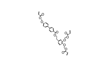 C=CC(=O)OCOc1ccc(-c2ccc(C(=O)OCCc3ccc(OCOC(=O)C=C)c(OCOC(=O)C=C)c3)cc2)cc1